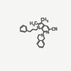 Cc1c(C)n(CCCc2ccccc2)c2c(N3CCc4ccccc4C3)nc(C#N)cc12